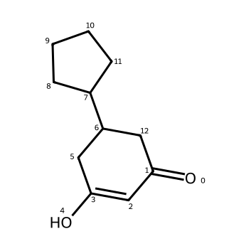 O=C1C=C(O)CC(C2CCCC2)C1